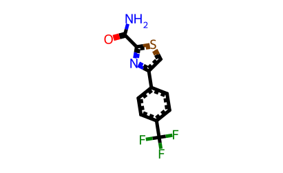 NC(=O)c1nc(-c2ccc(C(F)(F)F)cc2)cs1